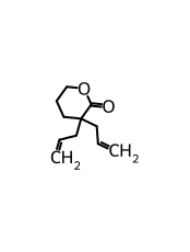 C=CCC1(CC=C)CCCOC1=O